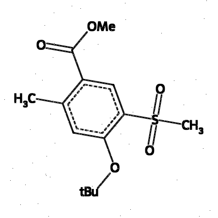 COC(=O)c1cc(S(C)(=O)=O)c(OC(C)(C)C)cc1C